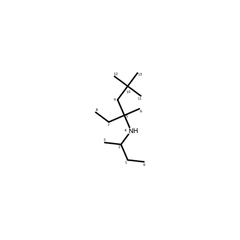 CCC(C)NC(C)(CC)CC(C)(C)C